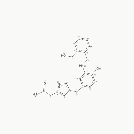 NC(=O)Cn1cc(Nc2ncc(Cl)c(NCc3ccccc3CO)n2)cn1